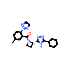 Cc1ccc(-n2nccn2)c(C(=O)N2CC[C@H]2c2nnc(-c3ccccc3)[nH]2)c1